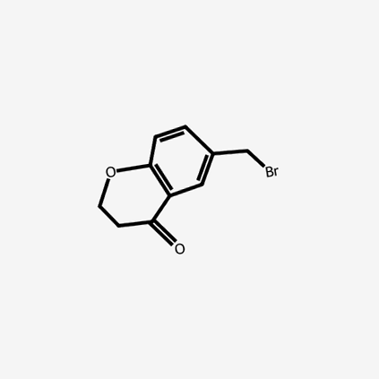 O=C1CCOc2ccc(CBr)cc21